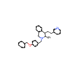 CC(C)C1C(CCc2cccnc2)c2ccccc2[C]N1Cc1ccc(OCc2ccccc2)cc1